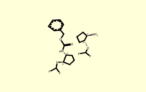 N[C@@H]1CCC[C@H]1OC(F)F.O=C(N[C@@H]1CCC[C@H]1OC(F)F)OCc1ccccc1